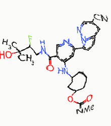 CNC(=O)OC1CCCC(Nc2cc(-c3ccc4cc(C#N)cnn34)ncc2C(=O)NCC(F)C(C)(C)O)C1